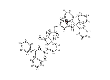 O=C(Cc1nnc(NC(c2ccccc2)(c2ccccc2)c2ccccc2)s1)NC1C(=O)N2C(C(=O)OC(c3ccccc3)c3ccccc3)=CCS[C@H]12